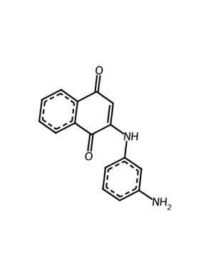 Nc1cccc(NC2=CC(=O)c3ccccc3C2=O)c1